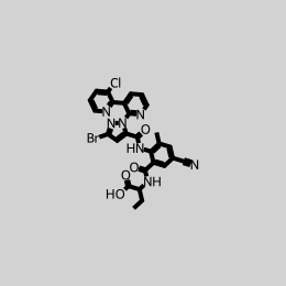 CCC(NC(=O)c1cc(C#N)cc(C)c1NC(=O)c1cc(Br)nn1-c1ncccc1-c1ncccc1Cl)C(=O)O